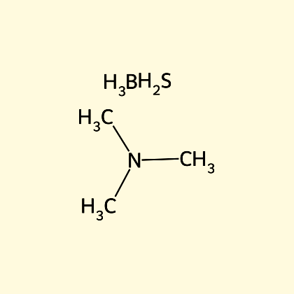 B.CN(C)C.S